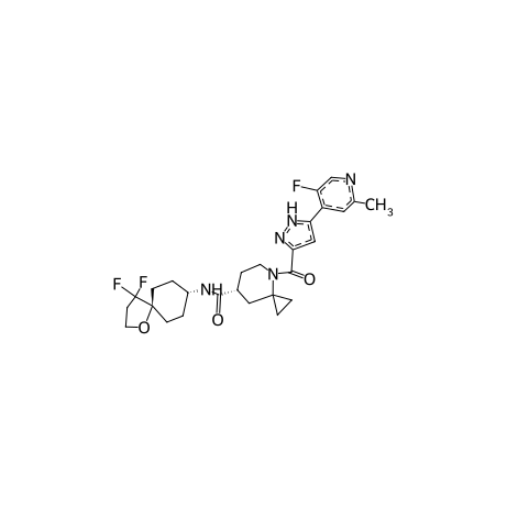 Cc1cc(-c2cc(C(=O)N3CC[C@@H](C(=O)N[C@H]4CC[C@@]5(CC4)OCCC5(F)F)CC34CC4)n[nH]2)c(F)cn1